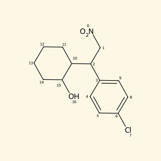 O=[N+]([O-])CC(c1ccc(Cl)cc1)C1CCCCC1O